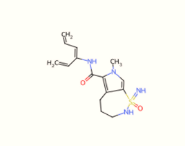 C=C/C=C(\C=C)NC(=O)c1c2c(cn1C)S(=N)(=O)NCCC2